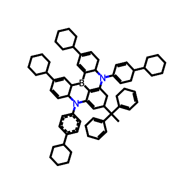 CC(C1=CCCC=C1)(C1=CC=CCC1)C1C=C2C3=C(C1)N(C1=CCC(C4CCCCC4)C=C1)C1CC=C(C4CCCCC4)C=C1B3C1C=C(C3CCCCC3)C=CC1N2c1ccc(C2CCCCC2)cc1